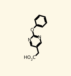 O=C(O)Cc1cnc(Oc2ccccc2)nc1